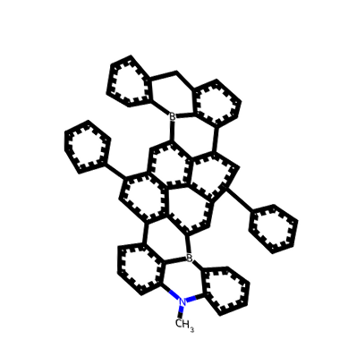 CN1c2ccccc2B2c3c(cccc31)-c1cc(-c3ccccc3)c3cc4c5c(cc(-c6ccccc6)c6cc2c1c3c65)-c1cccc2c1B4c1ccccc1C2